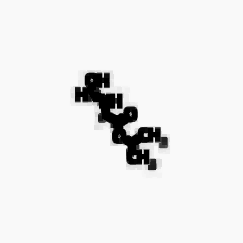 CC(C)OC(=O)CNNO